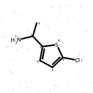 CC(N)c1ccc(Cl)s1